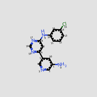 Nc1cncc(-c2cc(Nc3cccc(Cl)c3)ncn2)c1